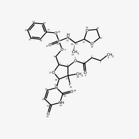 CCCC(=O)OC1C(COP(=O)(N[C@@H](C)C2OCCO2)Oc2ccccc2)OC(n2ccc(=O)[nH]c2=O)C1(C)F